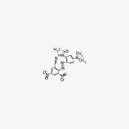 CC(=O)Nc1cc(N(C)C)ccc1/N=N/c1c(C#N)cc([N+](=O)[O-])cc1[N+](=O)[O-]